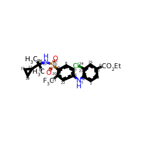 CCOC(=O)c1ccc(Nc2ccc(S(=O)(=O)NC(C)(C)C3CC3)c(C(F)(F)F)c2)c(Cl)c1